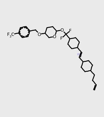 C=CCCC1CCC(/C=C/C2CCC(C(F)(F)OC3CCC(OCc4ccc(C(F)(F)F)cc4)CO3)CC2)CC1